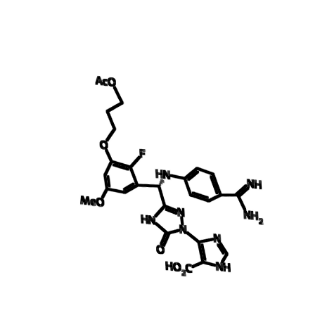 COc1cc(OCCCOC(C)=O)c(F)c([C@H](Nc2ccc(C(=N)N)cc2)c2nn(-c3nc[nH]c3C(=O)O)c(=O)[nH]2)c1